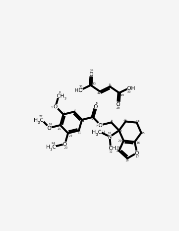 COc1cc(C(=O)OCC2(N(C)C)CCCc3occc32)cc(OC)c1OC.O=C(O)C=CC(=O)O